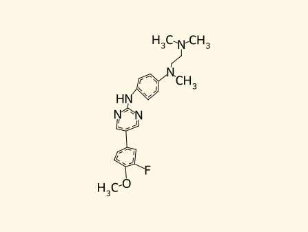 COc1ccc(-c2cnc(Nc3ccc(N(C)CCN(C)C)cc3)nc2)cc1F